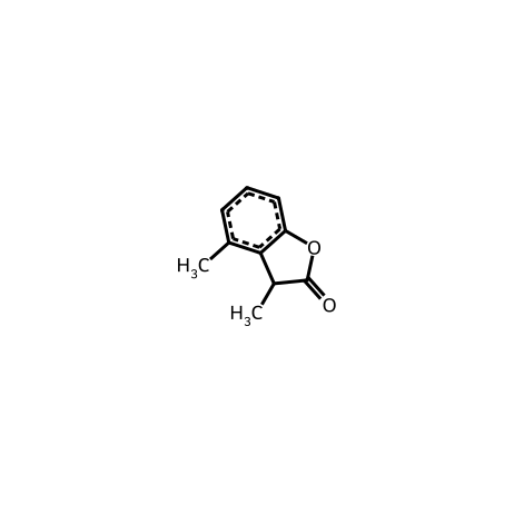 Cc1cccc2c1C(C)C(=O)O2